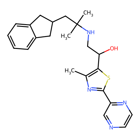 Cc1nc(-c2cnccn2)sc1C(O)CNC(C)(C)CC1Cc2ccccc2C1